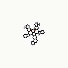 c1cnc2cc(-c3c(-c4c5ccccc5c(-c5sc6ccccc6c5-c5ccc6cccnc6c5)c5cc6c(ccc7ccccc76)cc45)sc4ccccc34)ccc2c1